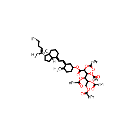 C=C1CC[C@H](OC(=O)C(OC(=O)CCC)C(OC(=O)CCC)C(OC(=O)CCC)C(COC(=O)CCC)OC(=O)CCC)C/C1=C/C=C1\CCC[C@]2(C)[C@@H](C(C)CCCC(C)C)CC[C@@H]12